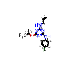 C=CCNc1nc(Nc2ccc(F)cc2)nc(OC(C(F)(F)F)C(F)(F)F)n1